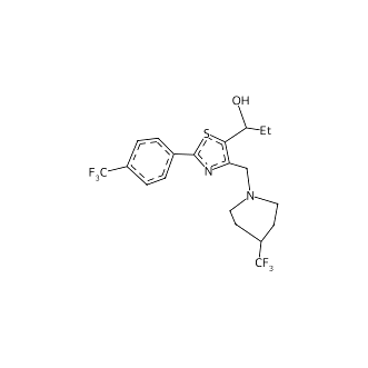 CCC(O)c1sc(-c2ccc(C(F)(F)F)cc2)nc1CN1CCC(C(F)(F)F)CC1